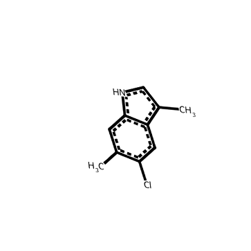 Cc1cc2[nH]cc(C)c2cc1Cl